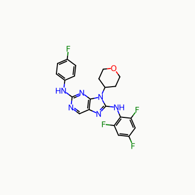 Fc1ccc(Nc2ncc3nc(Nc4c(F)cc(F)cc4F)n(C4CCOCC4)c3n2)cc1